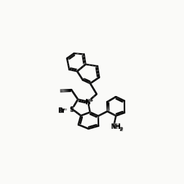 C=Cc1sc2cccc(-c3ccccc3N)c2[n+]1Cc1ccc2ccccc2c1.[Br-]